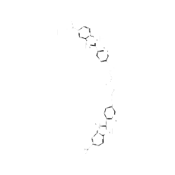 CC(O)c1ccc2[nH]c(-c3ccc(OCCOCCOc4ccc(-c5nc6cc(C7CO7)ccc6[nH]5)nc4)cn3)nc2c1